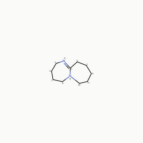 C1CCC2=NCCCCN2CC1